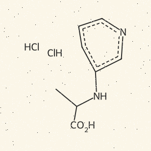 CC(Nc1cccnc1)C(=O)O.Cl.Cl